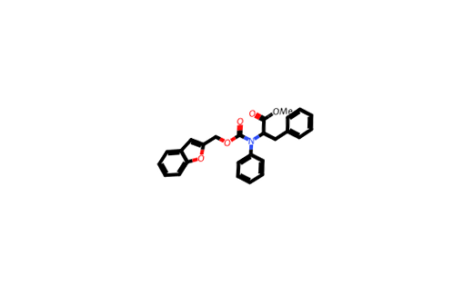 COC(=O)C(Cc1ccccc1)N(C(=O)OCc1cc2ccccc2o1)c1ccccc1